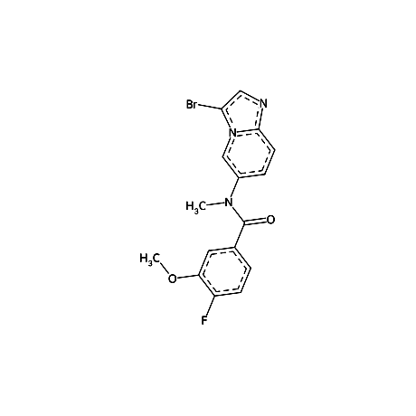 COc1cc(C(=O)N(C)c2ccc3ncc(Br)n3c2)ccc1F